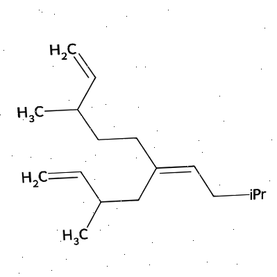 C=CC(C)CCC(=CCC(C)C)CC(C)C=C